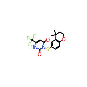 CC1(C)CCOc2ccc(Sn3c(=O)cc(C(F)(F)F)[nH]c3=O)cc21